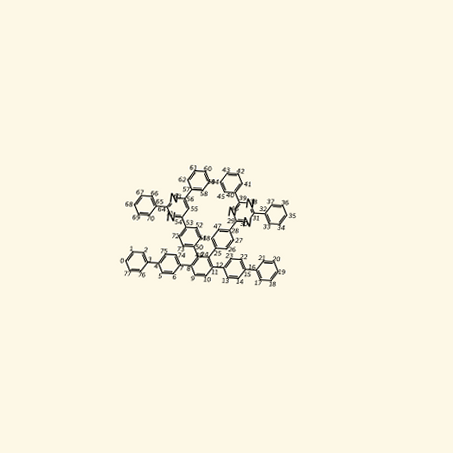 c1ccc(-c2ccc(-c3ccc(-c4ccc(-c5ccccc5)cc4)c(-c4ccc(-c5nc(-c6ccccc6)nc(-c6ccccc6)n5)cc4)c3-c3ccc(-c4cc(-c5ccccc5)nc(-c5ccccc5)n4)cc3)cc2)cc1